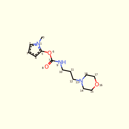 Cn1cccc1OC(=O)NCCCN1CCOCC1